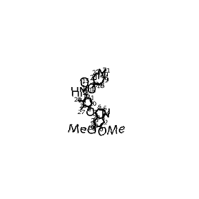 COc1cc2nccc(Oc3ccc(NC(=O)OC4CCN(C)CC4)c(C)c3C)c2cc1OC